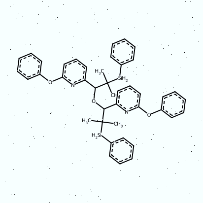 CC(C)([SiH2]c1ccccc1)C(OC(c1cccc(Oc2ccccc2)n1)C(C)(C)[SiH2]c1ccccc1)c1cccc(Oc2ccccc2)n1